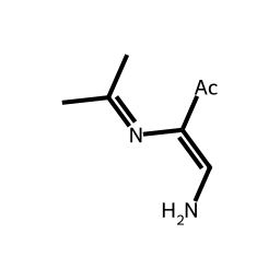 CC(=O)/C(=C/N)N=C(C)C